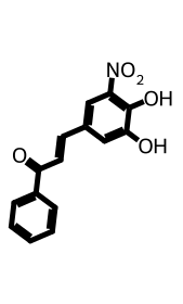 O=C(/C=C/c1cc(O)c(O)c([N+](=O)[O-])c1)c1ccccc1